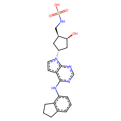 O=S(=O)(O)NC[C@@H]1C[C@@H](n2ccc3c(Nc4cccc5c4CCC5)ncnc32)C[C@@H]1O